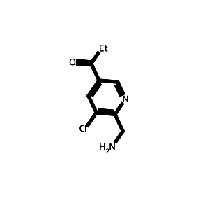 CCC(=O)c1cnc(CN)c(Cl)c1